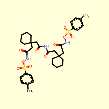 Cc1ccc(S(=O)(=O)ONC(=O)CC2(CC(=O)NC(=O)CC3(CC(=O)NOS(=O)(=O)c4ccc(C)cc4)CCCCC3)CCCCC2)cc1